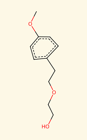 COc1ccc(CCOCCO)cc1